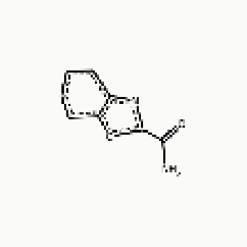 NC(=O)c1nc2ccccc2o1